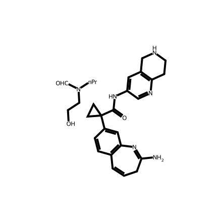 CCCN(C=O)CCO.NC1=Nc2cc(C3(C(=O)Nc4cnc5c(c4)CNCC5)CC3)ccc2C=CC1